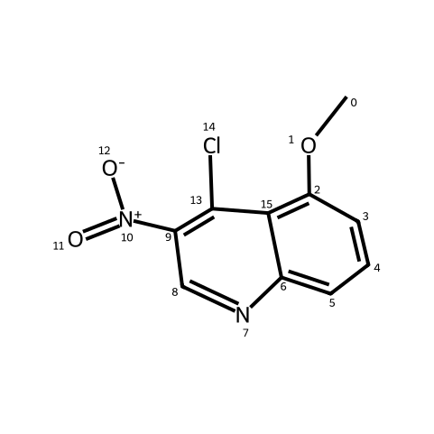 COc1cccc2ncc([N+](=O)[O-])c(Cl)c12